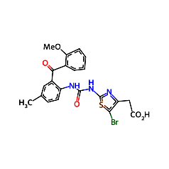 COc1ccccc1C(=O)c1cc(C)ccc1NC(=O)Nc1nc(CC(=O)O)c(Br)s1